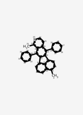 Cc1ccc2c3c(cccc13)-c1c-2c(-c2ccccc2)c2ccnc(C)c2c1-c1ccccc1